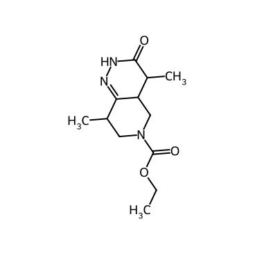 CCOC(=O)N1CC(C)C2=NNC(=O)C(C)C2C1